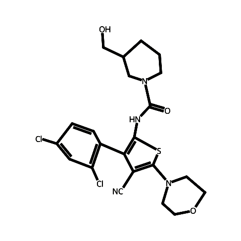 N#Cc1c(N2CCOCC2)sc(NC(=O)N2CCCC(CO)C2)c1-c1ccc(Cl)cc1Cl